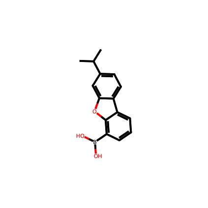 CC(C)c1ccc2c(c1)oc1c(B(O)O)cccc12